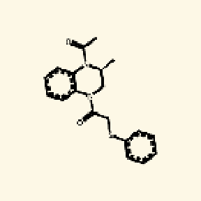 CC(=O)N1c2ccccc2N(C(=O)CSc2ccccc2)C[C@@H]1C